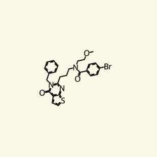 COCCN(CCCc1nc2sccc2c(=O)n1Cc1ccccc1)C(=O)c1ccc(Br)cc1